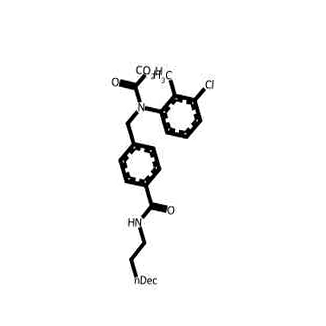 CCCCCCCCCCCCNC(=O)c1ccc(CN(C(=O)C(=O)O)c2cccc(Cl)c2C)cc1